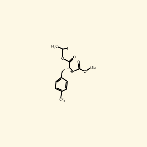 CC(I)OC(=O)[C@@H](Cc1ccc(C(F)(F)F)cc1)NC(=O)OC(C)(C)C